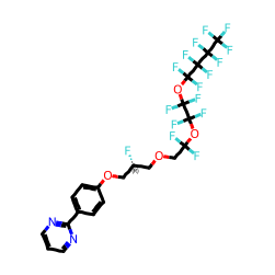 F[C@H](COCC(F)(F)OC(F)(F)C(F)(F)OC(F)(F)C(F)(F)C(F)(F)C(F)(F)F)COc1ccc(-c2ncccn2)cc1